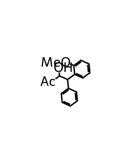 COc1ccccc1C(c1ccccc1)C(O)C(C)=O